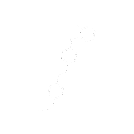 CCCCCCCCOc1ccc(CCc2ccc(Nc3ccccc3C(=O)O)cc2)cc1